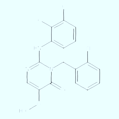 COc1cnc(Nc2cccc(Cl)c2C)n(Cc2ccccc2Cl)c1=O